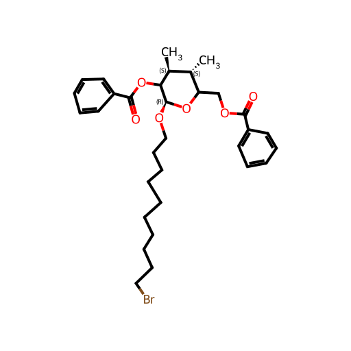 C[C@@H]1C(COC(=O)c2ccccc2)O[C@@H](OCCCCCCCCCCBr)C(OC(=O)c2ccccc2)[C@H]1C